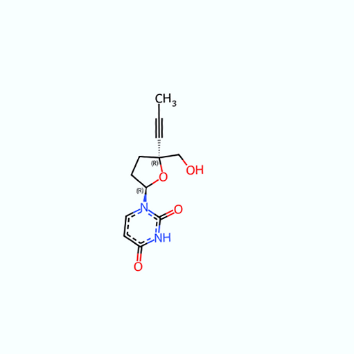 CC#C[C@@]1(CO)CC[C@H](n2ccc(=O)[nH]c2=O)O1